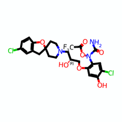 NC(=O)N(OC(=O)C(F)(F)F)c1cc(Cl)c(O)cc1OC[C@H](O)CN1CCC2(CC1)Cc1cc(Cl)ccc1O2